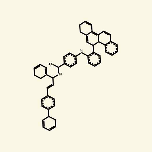 NC(NC(/C=C/c1ccc(C2C=CC=CC2)cc1)C1=CC=CCC1)c1ccc(Nc2ccccc2C2C=C3CCC=CC3=C3C=Cc4ccccc4C32)cc1